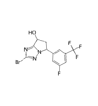 OC1CC(c2cc(F)cc(C(F)(F)F)c2)n2nc(Br)nc21